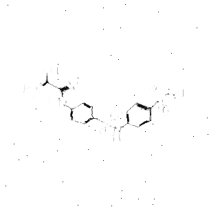 C=C(C)C(=O)Nc1ccc(S(=O)(=O)Nc2ccc(S(N)(=O)=O)cc2)cc1